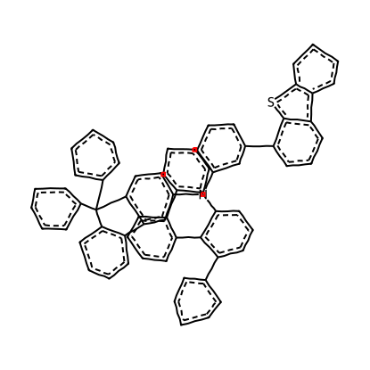 c1ccc(-c2ccccc2-c2c(-c3ccccc3)cccc2N(c2cccc(-c3cccc4c3sc3ccccc34)c2)c2ccc3c(c2)-c2ccccc2C3(c2ccccc2)c2ccccc2)cc1